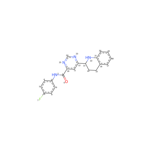 O=C(Nc1ccc(F)cc1)c1cc(C2CCc3ccccc3N2)ncn1